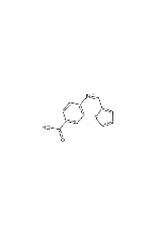 O=C(O)c1ccc(/N=C\c2cccs2)cc1